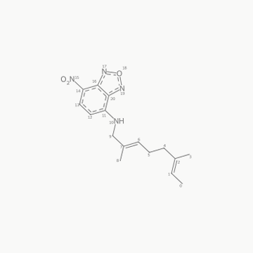 CC=C(C)CCC=C(C)CNc1ccc([N+](=O)[O-])c2nonc12